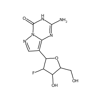 Nc1nc2c(C3OC(CO)C(O)C3F)cnn2c(=O)[nH]1